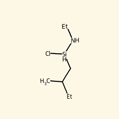 CCN[SiH](Cl)CC(C)CC